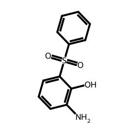 Nc1cccc(S(=O)(=O)c2ccccc2)c1O